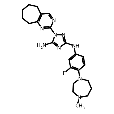 CN1CCCN(c2ccc(Nc3nc(N)n(-c4ncc5c(n4)CCCCC5)n3)cc2F)CC1